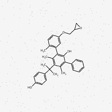 Cc1ccc(OCC2CO2)cc1-c1c(C)c(C(C)(C)c2ccc(O)cc2)c(C)c(-c2ccccc2)c1O